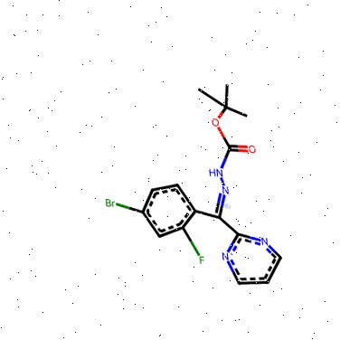 CC(C)(C)OC(=O)N/N=C(/c1ncccn1)c1ccc(Br)cc1F